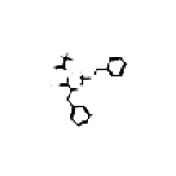 CC(C)(C)C(=O)OC(=O)C(Cc1ccccc1)NC(=O)OCc1ccccc1